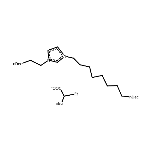 CCCCC(CC)C(=O)[O-].CCCCCCCCCCCCCCCCCCn1cc[n+](CCCCCCCCCCCC)c1